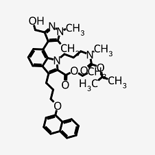 CCOC(=O)c1c(CCCOc2cccc3ccccc23)c2cccc(-c3c(CO)nn(C)c3C)c2n1CCCN(C)C(=O)OC(C)C